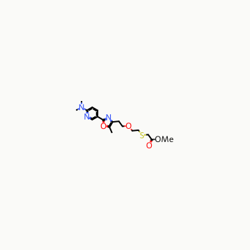 COC(=O)CSCCOCCc1nc(-c2ccc(N(C)C)nc2)oc1C